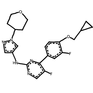 Fc1cc(-c2nc(Nc3cnn(C4CCOCC4)c3)ncc2F)ccc1OCC1CC1